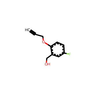 C#CCOc1ccc(F)cc1CO